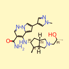 C[C@@H]1[C@H]2CN(C[C@@H](C)O)C[C@H]2C[C@H]1Nc1c(C(N)=O)cnn2cc(-c3cnn(C)c3)cc12